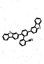 N#Cc1ccccc1-c1cc(-c2ccc3sc4ccccc4c3c2)ccc1-c1ccc2c(c1)sc1ccccc12